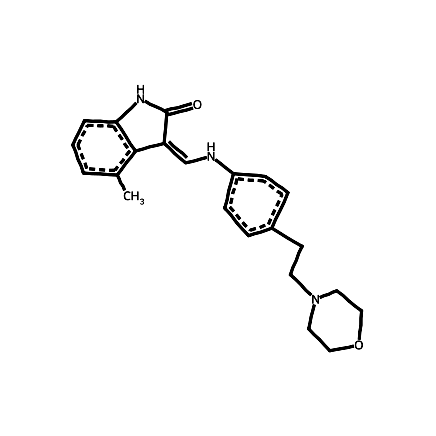 Cc1cccc2c1/C(=C/Nc1ccc(CCN3CCOCC3)cc1)C(=O)N2